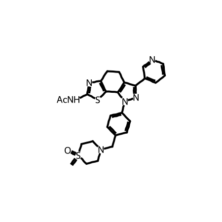 C=S1(=O)CCN(Cc2ccc(-n3nc(-c4cccnc4)c4c3-c3sc(NC(C)=O)nc3CC4)cc2)CC1